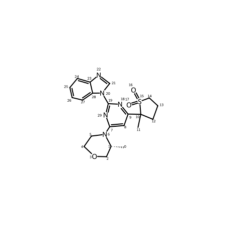 C[C@@H]1COCCN1c1cc(C2(C)CCCS2(=O)=O)nc(-n2cnc3ccccc32)n1